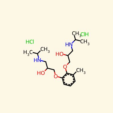 Cc1cccc(OCC(O)CNC(C)C)c1OCC(O)CNC(C)C.Cl.Cl